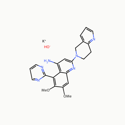 COc1cc2nc(N3CCc4ncccc4C3)cc(N)c2c(-c2ncccn2)c1OC.[K+].[OH-]